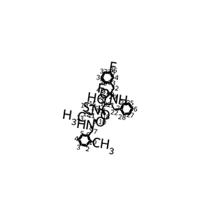 Cc1ccccc1CNC(=O)[C@@H]1C(C)SCN1C(=O)[C@@H](O)[C@H](Cc1ccccc1)NC(=O)Cc1cc(F)ccc1F